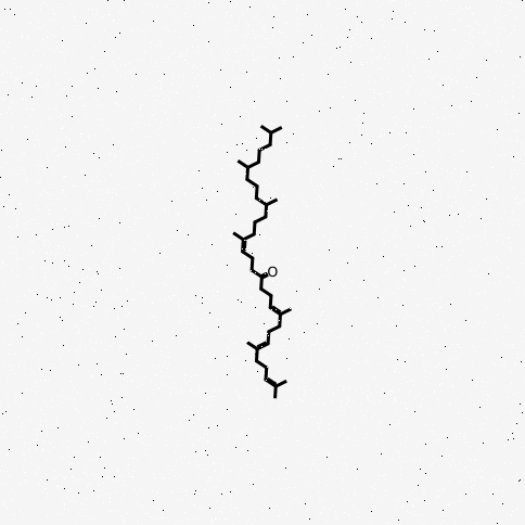 CC(C)=CCCC(C)=CCCC(C)=CCCC(=O)CCC=C(C)CCCC(C)CCCC(C)CCCC(C)C